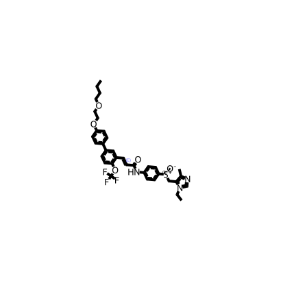 CCCCOCCOc1ccc(-c2ccc(OC(F)(F)F)c(/C=C/C(=O)Nc3ccc([S@@+]([O-])Cc4c(C)ncn4CC)cc3)c2)cc1